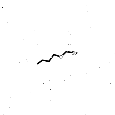 CCCCO[CH2][Sb]